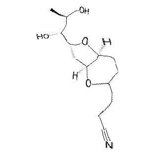 C[C@@H](O)[C@@H](O)[C@H]1C[C@@H]2OC(CCC#N)CC[C@@H]2O1